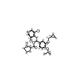 O=C(O[C@@H](Cc1c(Cl)cncc1Cl)c1ccc(OC(F)F)c(OCC2CC2)c1)[C@H]1CCCN1